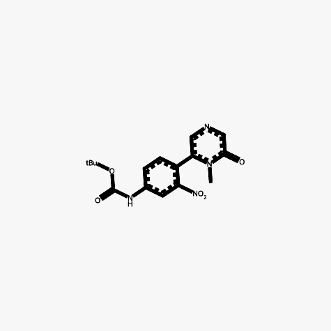 Cn1c(-c2ccc(NC(=O)OC(C)(C)C)cc2[N+](=O)[O-])cncc1=O